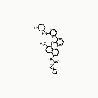 Cc1ccc2c(NC(=O)[C@@H]3CC34CCC4)cccc2c1Oc1ncccc1-c1ccnc(NC2CCCNC2)n1